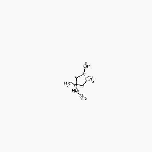 BNC(C)(CC)CCO